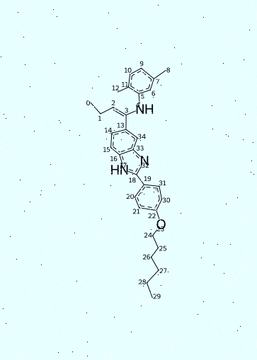 CC/C=C(/Nc1cc(C)ccc1C)c1ccc2[nH]c(-c3ccc(OCCCCCC)cc3)nc2c1